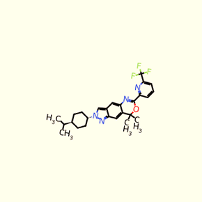 CC(C)[C@H]1CC[C@H](n2cc3cc4c(cc3n2)C(C)(C)OC(c2cccc(C(F)(F)F)n2)=N4)CC1